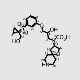 O=C(O)N(CC(O)COc1cccc(S(=O)(=O)C2(CO)CC2)c1)C1COC2(CCNCC2)C1